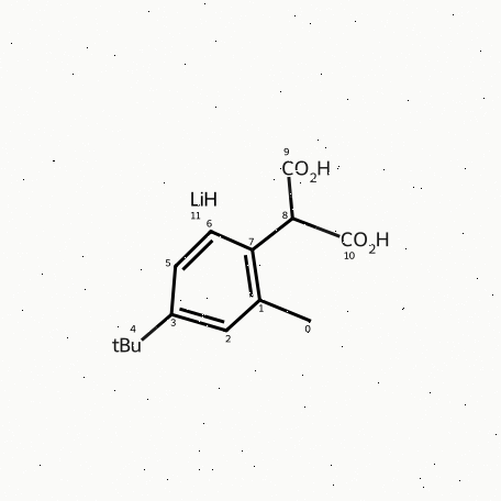 Cc1cc(C(C)(C)C)ccc1C(C(=O)O)C(=O)O.[LiH]